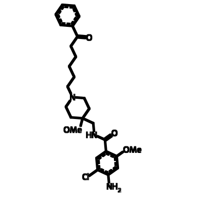 COc1cc(N)c(Cl)cc1C(=O)NCC1(OC)CCN(CCCCCC(=O)c2ccccc2)CC1